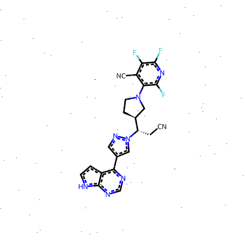 N#CC[C@@H]([C@H]1CCN(c2c(F)nc(F)c(F)c2C#N)C1)n1cc(-c2ncnc3[nH]ccc23)cn1